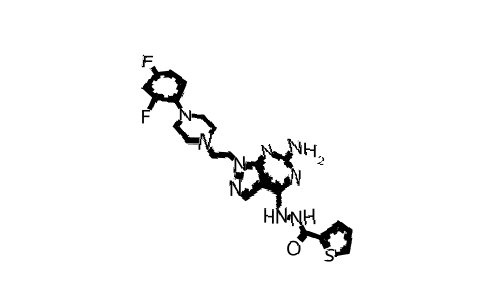 Nc1nc(NNC(=O)c2cccs2)c2cnn(CCN3CCN(c4ccc(F)cc4F)CC3)c2n1